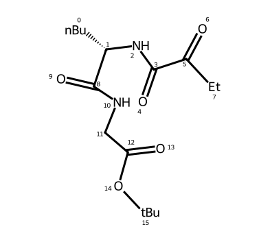 CCCC[C@H](NC(=O)C(=O)CC)C(=O)NCC(=O)OC(C)(C)C